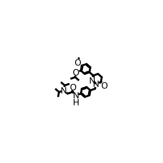 COc1ccc(C2=NN(Cc3ccc(NC(=O)CN(C(C)C)C(C)C)cc3)C(=O)CC2)cc1OC(C)C